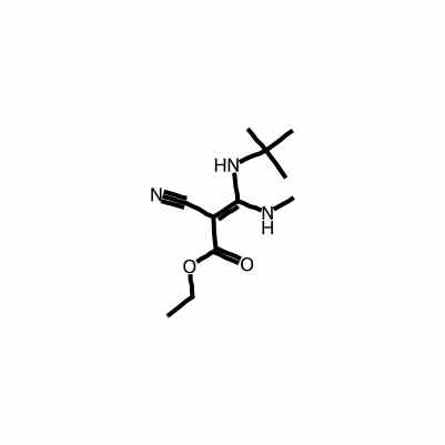 CCOC(=O)/C(C#N)=C(\NC)NC(C)(C)C